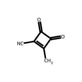 Cc1c(C#N)c(=O)c1=O